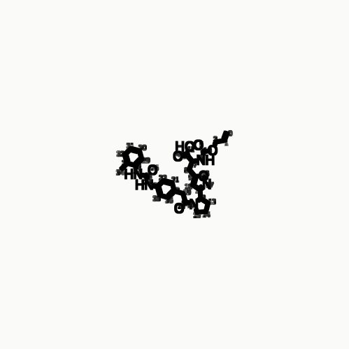 C=CCOC(=O)NC(Cc1cc(C2CCCN2C(=O)Cc2ccc(NC(=O)Nc3ccccc3C)cc2)no1)C(=O)O